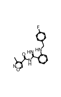 Cc1nocc1C(=O)NC(=N)c1ccccc1NCc1ccc(F)cc1